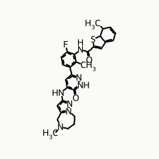 Cc1c(-c2cc(Nc3cc4n(n3)CCCN(C)C4)c(=O)[nH]n2)ccc(F)c1NC(=O)C1=CC2=CC=CC(C)C2S1